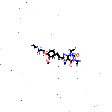 CCNC(=O)COc1ccc(/C=C/c2nc3c(c(=O)n(CC)c(=O)n3CC)n2C)cc1OC